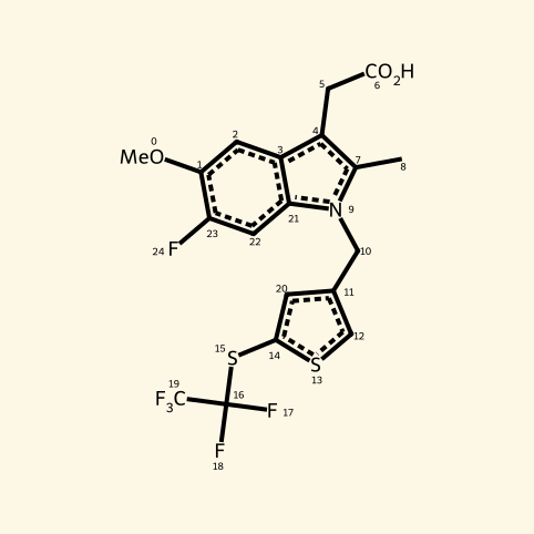 COc1cc2c(CC(=O)O)c(C)n(Cc3csc(SC(F)(F)C(F)(F)F)c3)c2cc1F